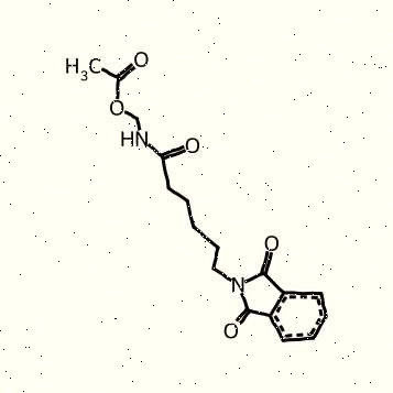 CC(=O)OCNC(=O)CCCCCN1C(=O)c2ccccc2C1=O